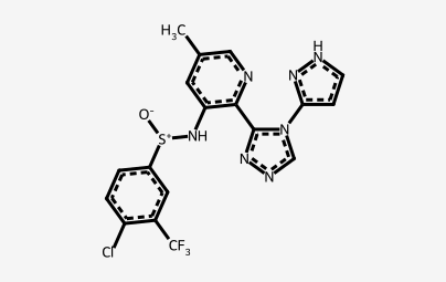 Cc1cnc(-c2nncn2-c2cc[nH]n2)c(N[S+]([O-])c2ccc(Cl)c(C(F)(F)F)c2)c1